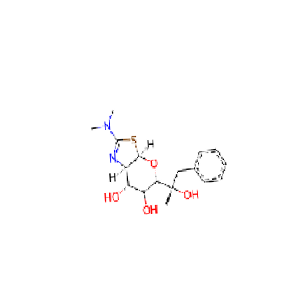 CN(C)C1=N[C@@H]2[C@@H](O)[C@H](O)[C@@H]([C@@](C)(O)Cc3ccccc3)O[C@@H]2S1